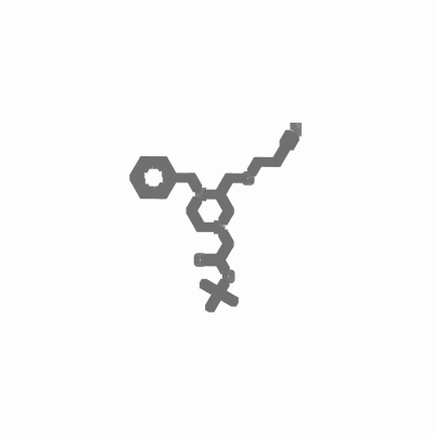 CC(C)(C)OC(=O)CN1CCN(Cc2ccccc2)C(COCCC#N)C1